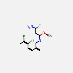 C=C(/C=C\C(Cl)=C(/C)F)C/N=C(\CC(N)Cl)OC(C)(C)C